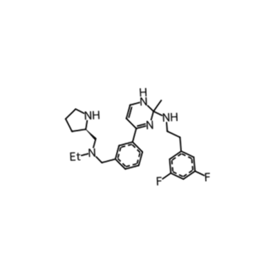 CCN(Cc1cccc(C2=NC(C)(NCCc3cc(F)cc(F)c3)NC=C2)c1)C[C@H]1CCCN1